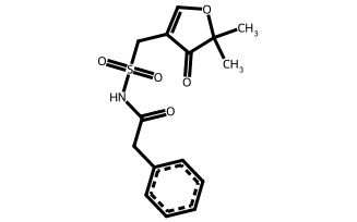 CC1(C)OC=C(CS(=O)(=O)NC(=O)Cc2ccccc2)C1=O